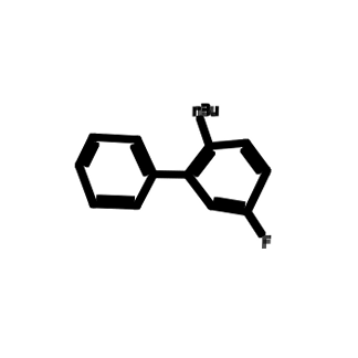 CCCCc1ccc(F)cc1-c1ccccc1